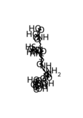 Nc1nc(=O)n([C@H]2CC(O)[C@@H](COP(=O)(O)OP(=O)(O)OP(=O)(O)O)O2)cc1C#CCNC(=O)CCSSCC(NC(=O)N[C@H](C=O)CS)C(=O)NCCCCCC(=O)NC(CCC(=O)O)C(=O)O